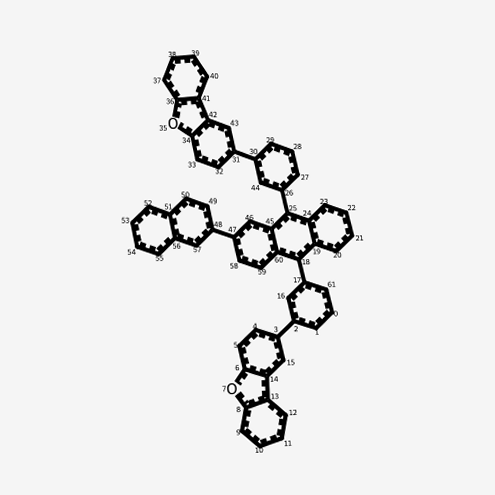 c1cc(-c2ccc3oc4ccccc4c3c2)cc(-c2c3ccccc3c(-c3cccc(-c4ccc5oc6ccccc6c5c4)c3)c3cc(-c4ccc5ccccc5c4)ccc23)c1